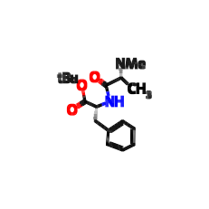 CN[C@H](C)C(=O)N[C@H](Cc1ccccc1)C(=O)OC(C)(C)C